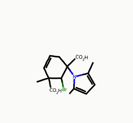 Cc1ccc(C)n1C1(C(=O)O)CC=CC(C)(C(=O)O)C1Br